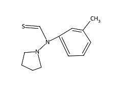 Cc1cccc(N(C=S)N2CCCC2)c1